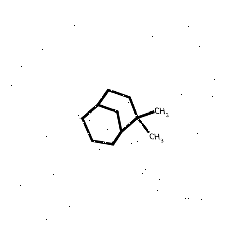 CC1(C)CCC2[CH]CCC1C2